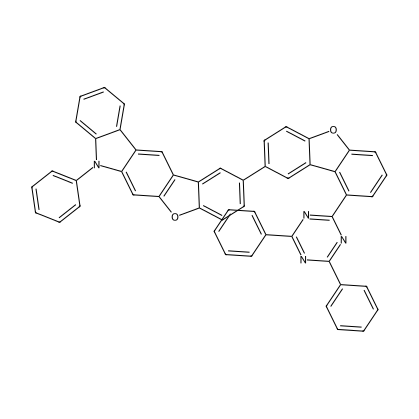 c1ccc(-c2nc(-c3ccccc3)nc(-c3cccc4oc5ccc(-c6ccc7oc8cc9c(cc8c7c6)c6ccccc6n9-c6ccccc6)cc5c34)n2)cc1